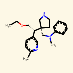 CCOC[C@@H](c1ccc(C)nc1)[C@]1(CN(C)c2ccccc2)CCNC1